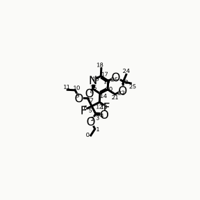 CCOC(=O)C(F)(C(=O)OCC)C(F)c1cnc(C)c2c1COC(C)(C)O2